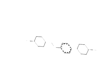 O[C@H]1CC[C@H](COc2ccc([C@H]3CC[C@H](O)CC3)cc2)CC1